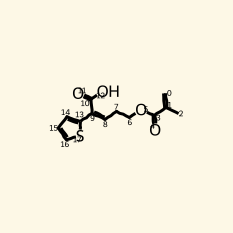 C=C(C)C(=O)OCCC=C(C(=O)O)c1cccs1